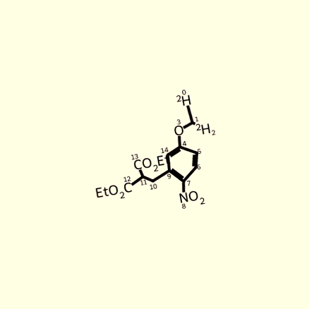 [2H]C([2H])Oc1ccc([N+](=O)[O-])c(CC(C(=O)OCC)C(=O)OCC)c1